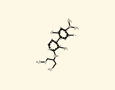 CCC(COC)Nc1nccc(-c2cc(F)c(N(C)C)cc2Cl)c1N